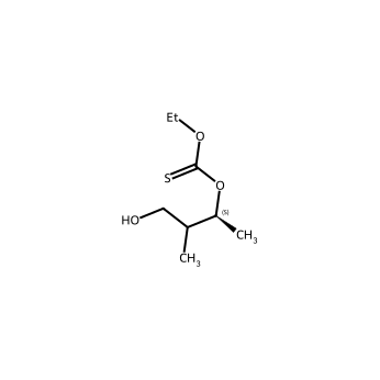 CCOC(=S)O[C@@H](C)C(C)CO